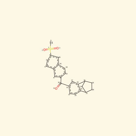 CCS(=O)(=O)c1ccc2cc(C(=O)c3ccc4c(c3)C3CCC4C3)ccc2c1